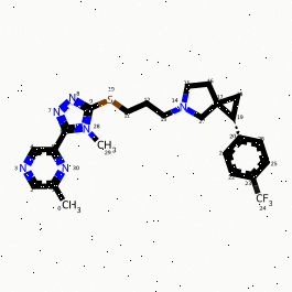 Cc1cncc(-c2nnc(SCCCN3CCC4(C[C@@H]4c4ccc(C(F)(F)F)cc4)C3)n2C)n1